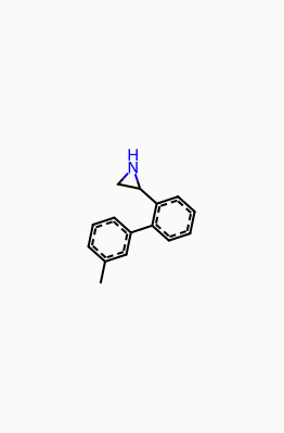 Cc1cccc(-c2ccccc2C2CN2)c1